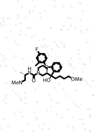 CNC[C@H](C)NC(=O)N1CCC[C@@H]([C@@](O)(CCCCOC)c2ccccc2Oc2ccc(F)cc2C)C1